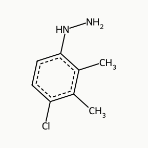 Cc1c(Cl)ccc(NN)c1C